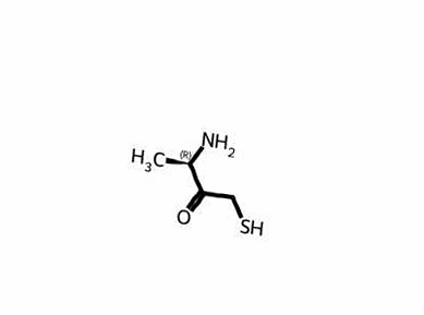 C[C@@H](N)C(=O)CS